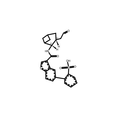 O=CC[C@H]1CC2CC(C2)[C@H]1NC(=O)c1csc2ccc(-c3ccccc3S(=O)(=O)O)cc12